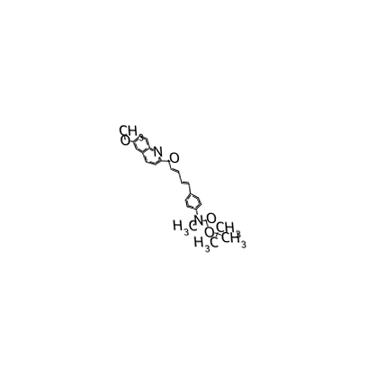 COc1ccc2nc(C(=O)/C=C/C=C/c3ccc(N(C)C(=O)OC(C)(C)C)cc3)ccc2c1